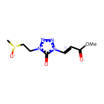 COC(=O)/C=C/n1nnn(CC[S+](C)[O-])c1=O